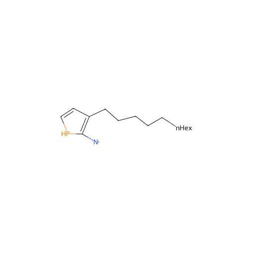 CCCCCCCCCCCc1cc[pH]c1[N]